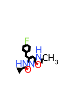 CC1COc2nc(NC(=O)C3CC3)c(Cc3ccc(F)cc3)cc2N1